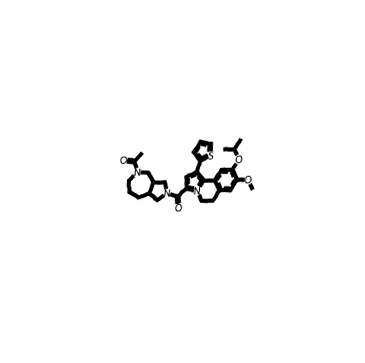 COc1cc2c(cc1OC(C)C)-c1c(-c3cccs3)cc(C(=O)N3CC4CCCN(C(C)=O)CC4C3)n1CC2